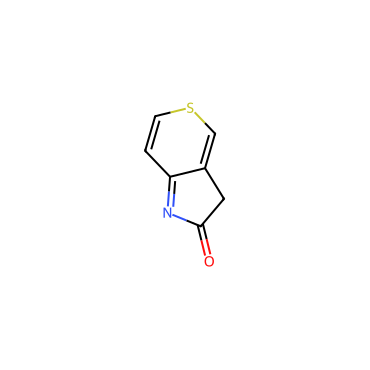 O=C1CC2=CSC=CC2=N1